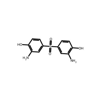 Nc1cc(S(=O)(=O)c2ccc(O)c(N)c2)ccc1O